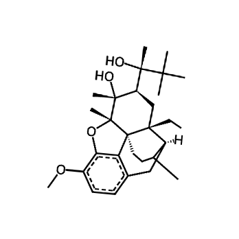 CC[C@]12C[C@H]([C@](C)(O)C(C)(C)C)[C@@](C)(O)[C@@]3(C)Oc4c(OC)ccc5c4[C@]13CCC(C)[C@@H]2C5